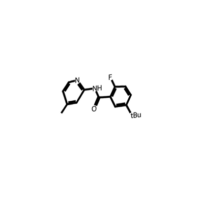 Cc1ccnc(NC(=O)c2cc(C(C)(C)C)ccc2F)c1